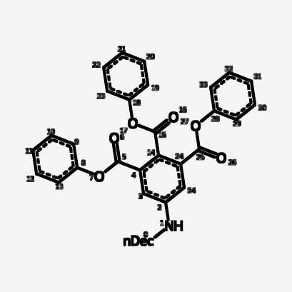 CCCCCCCCCCNc1cc(C(=O)Oc2ccccc2)c(C(=O)Oc2ccccc2)c(C(=O)Oc2ccccc2)c1